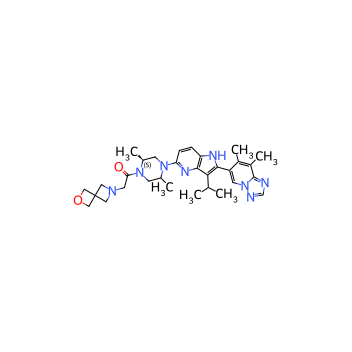 Cc1c(-c2[nH]c3ccc(N4C[C@H](C)N(C(=O)CN5CC6(COC6)C5)CC4C)nc3c2C(C)C)cn2ncnc2c1C